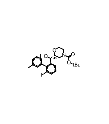 Cc1cccc(-c2c(F)cccc2C(O)[C@H]2CN(C(=O)OC(C)(C)C)CCO2)c1